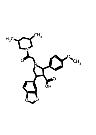 COc1ccc(C2C(C(=O)O)C(c3ccc4c(c3)OCO4)CN2CC(=O)N2CC(C)CC(C)C2)cc1